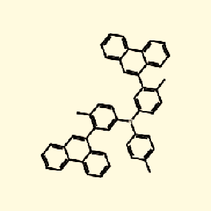 Cc1ccc(N(c2ccc(C)c(-c3cc4ccccc4c4ccccc34)c2)c2ccc(C)c(-c3cc4ccccc4c4ccccc34)c2)cc1